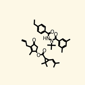 C=CCC1=C(C)C(OC(=O)C2C(C=C(C)C)C2(C)C)CC1=O.CCc1ccc(C(=O)NN(C(=O)c2cc(C)cc(C)c2)C(C)(C)C)cc1